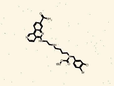 CC(C)(C)OC(=O)N(CCCCNCCNc1nc2cc(C(N)=O)ccc2c2cnccc12)Cc1ccc(Br)c(Cl)c1